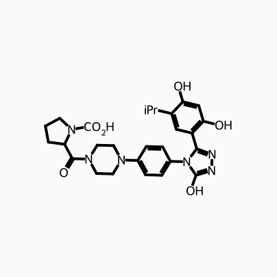 CC(C)c1cc(-c2nnc(O)n2-c2ccc(N3CCN(C(=O)C4CCCN4C(=O)O)CC3)cc2)c(O)cc1O